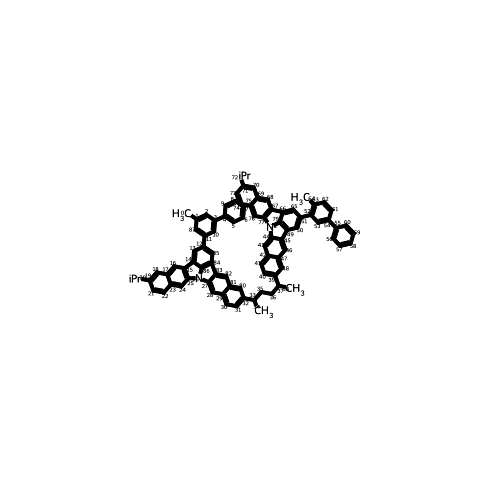 Cc1cc(-c2ccccc2)cc(-c2cc3c4cc5cc(C(C)C)ccc5cc4n4c5cc6ccc(C(C)CCC(C)c7ccc8cc9c(cc8c7)c7cc(-c8cc(-c%10ccccc%10)ccc8C)cc8c%10cc%11cc(C(C)C)ccc%11cc%10n9c87)cc6cc5c(c2)c34)c1